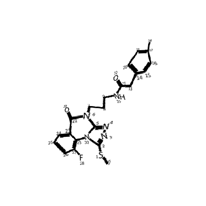 CSc1nnc2n(CCCNC(=O)Cc3ccc(C)cc3)c(=O)c3cccc(F)c3n12